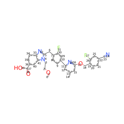 COCCn1c(Cc2ccc(-c3cc(C)cc(OCc4ccc(C#N)cc4F)n3)cc2F)nc2ccc(C(=O)O)cc21